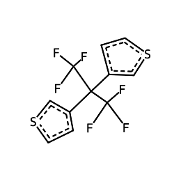 FC(F)(F)C(c1ccsc1)(c1ccsc1)C(F)(F)F